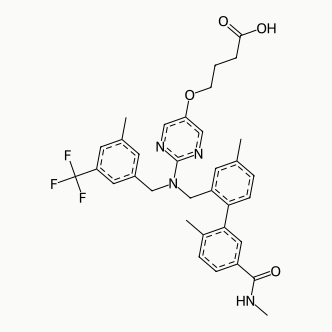 CNC(=O)c1ccc(C)c(-c2ccc(C)cc2CN(Cc2cc(C)cc(C(F)(F)F)c2)c2ncc(OCCCC(=O)O)cn2)c1